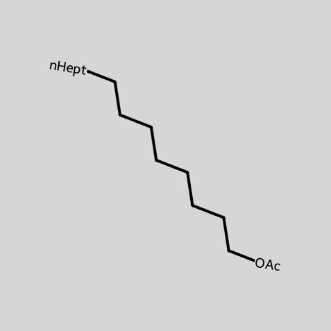 [CH2]C(=O)OCCCCCCCCCCCCCCC